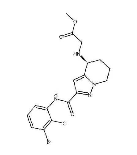 COC(=O)CN[C@H]1CCCn2nc(C(=O)Nc3cccc(Br)c3Cl)cc21